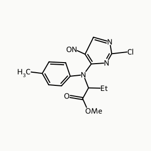 CCC(C(=O)OC)N(c1ccc(C)cc1)c1nc(Cl)ncc1N=O